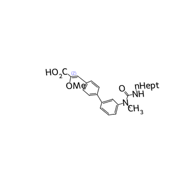 CCCCCCCNC(=O)N(C)c1cccc(-c2ccc(/C=C(\OC)C(=O)O)cc2)c1